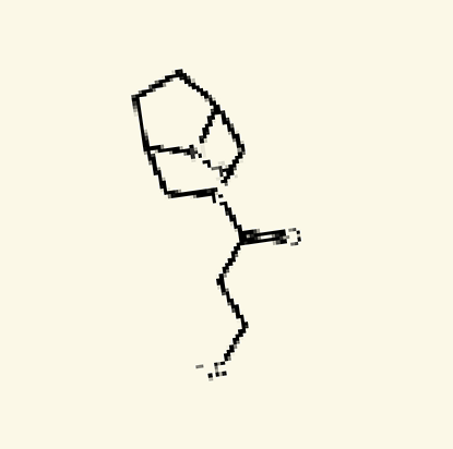 CC(C)(C)N1C2CCC1CN(C(=O)CCC(F)(F)F)C2